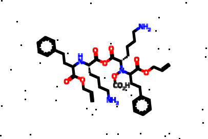 C=CCOC(=O)C(CCc1ccccc1)N[C@@H](CCCCN)C(=O)OC(=O)[C@H](CCCCN)N(OC(=O)O)C(CCc1ccccc1)C(=O)OCC=C